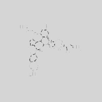 C=CC(=O)N1CCc2nc(-c3nc(-c4ccc5c(c4)CCN(C)C5)c4ccsc4c3-c3c(F)cc(F)cc3OCCO)sc2C1